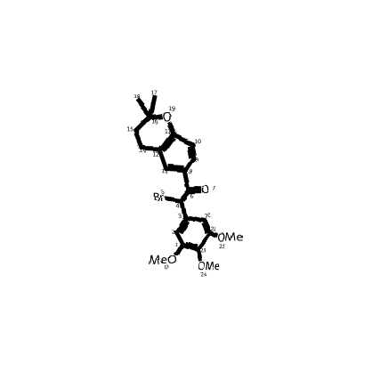 COc1cc(C(Br)C(=O)c2ccc3c(c2)CCC(C)(C)O3)cc(OC)c1OC